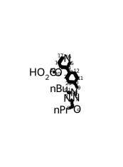 CCCCc1nc(C(=O)CCC)nn1Cc1ccc(-c2cnccc2OC(=O)O)cc1